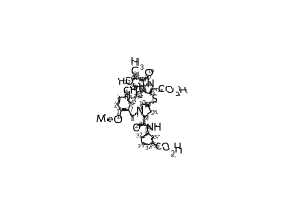 COc1ccc(C)cc1CN1C[C@@H](SC2=C(C(=O)O)N3C(=O)[C@H]([C@@H](C)O)[C@H]3[C@H]2C)C[C@H]1C(=O)Nc1cccc(C(=O)O)c1